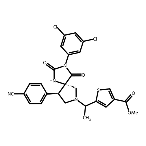 COC(=O)c1csc(C(C)N2C[C@@H](c3ccc(C#N)cc3)[C@@]3(C2)NC(=O)N(c2cc(Cl)cc(Cl)c2)C3=O)c1